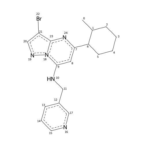 CC1CCCCC1c1cc(NCc2cccnc2)n2ncc(Br)c2n1